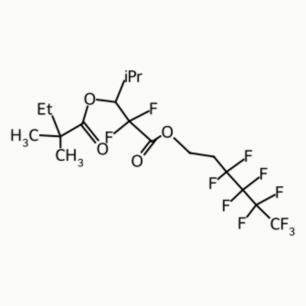 CCC(C)(C)C(=O)OC(C(C)C)C(F)(F)C(=O)OCCC(F)(F)C(F)(F)C(F)(F)C(F)(F)F